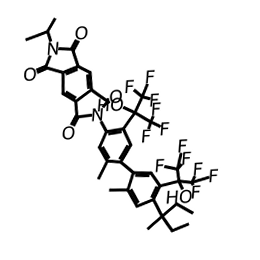 CCC(C)(CC)c1cc(C)c(-c2cc(C(O)(C(F)(F)F)C(F)(F)F)c(-n3c(=O)c4cc5c(=O)n(C(C)C)c(=O)c5cc4c3=O)cc2C)cc1C(O)(C(F)(F)F)C(F)(F)F